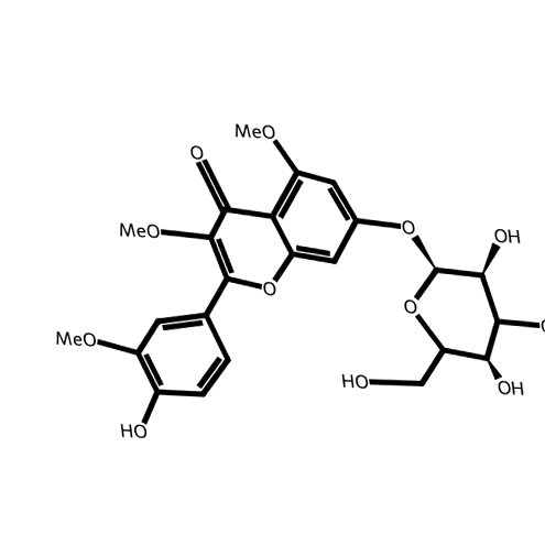 COc1cc(-c2oc3cc(O[C@@H]4OC(CO)[C@H](O)C(O)[C@@H]4O)cc(OC)c3c(=O)c2OC)ccc1O